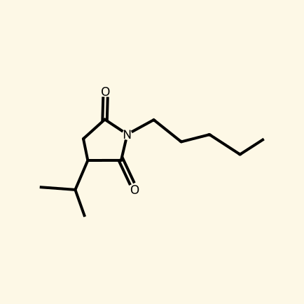 CCCCCN1C(=O)CC(C(C)C)C1=O